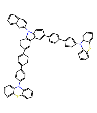 C1=C(C2=Cc3c(n(-c4ccc5ccccc5c4)c4ccc(-c5ccc(-c6ccc(N7c8ccccc8Sc8ccccc87)cc6)cc5)cc34)CC2)CCC(c2ccc(N3c4ccccc4Sc4ccccc43)cc2)=C1